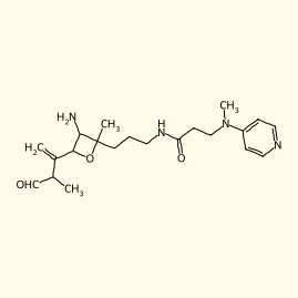 C=C(C(C)C=O)C1OC(C)(CCCNC(=O)CCN(C)c2ccncc2)C1N